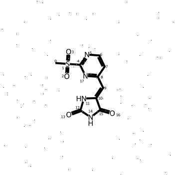 CS(=O)(=O)c1nccc(/C=C2\NC(=O)NC2=O)n1